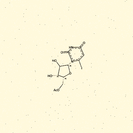 CC(=O)OC[C@H]1O[C@@H](n2c(I)cc(=O)[nH]c2=O)C(O)[C@H]1O